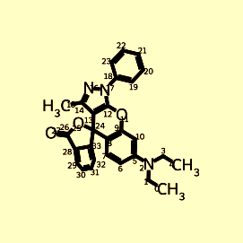 CCN(CC)c1ccc2c(c1)Oc1c(c(C)nn1-c1ccccc1)C21OC(=O)c2ccccc21